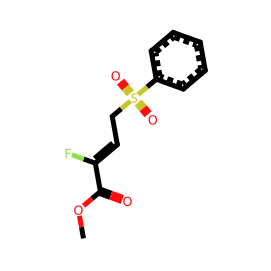 COC(=O)C(F)=CCS(=O)(=O)c1ccccc1